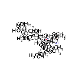 CC#C/C=C\C#C[C@H](OC1OC(C)C(NOC2CC(O)C(SC(=O)c3c(C)c(I)c(OC4OC(C)C(O)C(OC)C4O)c(OC)c3OC)C(C)O2)C(O)C1OC1CC(OC)C(N(CC)C(C)=O)CO1)C1=C(NC(=O)OC)C(=O)CC(O)/C1=C/CSCC(=O)NCCC[Si](C)(C)O